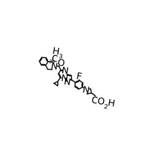 C[C@@H]1c2ccccc2CCN1C(=O)c1cc(C2CC2)n2nc(-c3ccc(N4CC(CC(=O)O)C4)cc3F)cc2n1